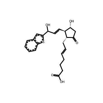 O=C(O)CCCC=CC[C@H]1C(=O)C[C@@H](O)[C@@H]1C=CC(O)c1cc2ccccc2s1